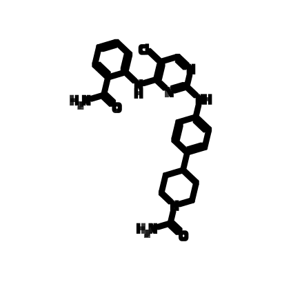 NC(=O)c1ccccc1Nc1nc(Nc2ccc(C3CCN(C(N)=O)CC3)cc2)ncc1Cl